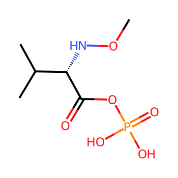 CON[C@H](C(=O)OP(=O)(O)O)C(C)C